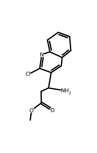 COC(=O)CC(N)c1cc2ccccc2nc1Cl